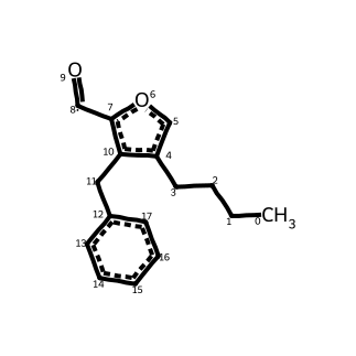 CCCCc1coc([C]=O)c1Cc1ccccc1